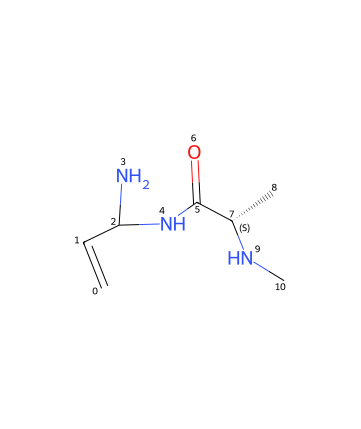 C=CC(N)NC(=O)[C@H](C)NC